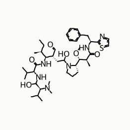 CC[C@H](C)[C@H](NC(=O)[C@@H](NC(O)[C@H](C(C)C)N(C)C)C(C)C)[C@H](C=O)CC(O)N1CCC[C@H]1[C@H](OC)[C@H](C)C(=O)N[C@@H](Cc1ccccc1)c1nccs1